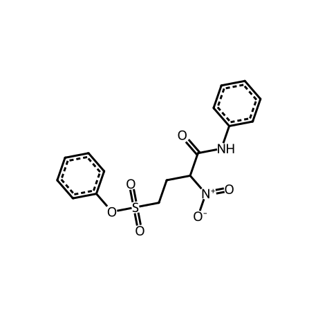 O=C(Nc1ccccc1)C(CCS(=O)(=O)Oc1ccccc1)[N+](=O)[O-]